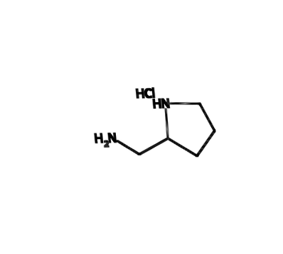 Cl.NCC1CCCN1